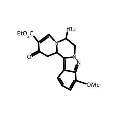 CCOC(=O)C1=CN2C(CC1=O)c1c3cccc(OC)c3nn1CC2C(C)(C)C